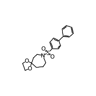 O=S(=O)(c1ccc(-c2ccccc2)cc1)N1CCCC2(CC1)OCCO2